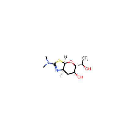 CN(C)C1=N[C@@H]2C[C@H](O)[C@@H](C(O)C(F)(F)F)O[C@@H]2S1